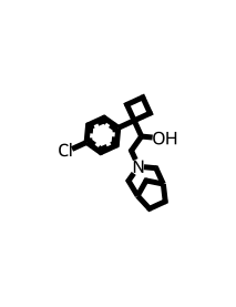 OC(CN1CC2CCC(C2)C1)C1(c2ccc(Cl)cc2)CCC1